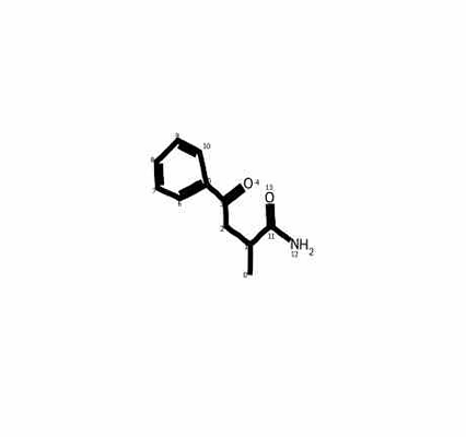 CC(CC(=O)c1ccccc1)C(N)=O